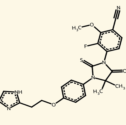 COc1c(C#N)ccc(N2C(=O)C(C)(C)N(c3ccc(OCCc4ncc[nH]4)cc3)C2=S)c1F